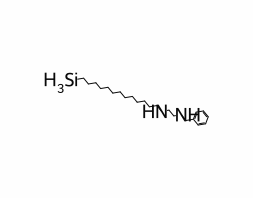 [SiH3]CCCCCCCCCCCCCNCCNCc1ccccc1